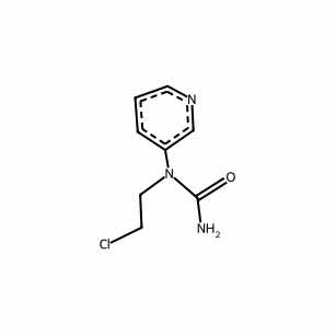 NC(=O)N(CCCl)c1cccnc1